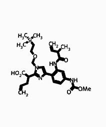 C=CCC(C(=O)O)c1nc(-c2ccc(NC(=O)OC)cc2NC(=O)C(C)C=C)cn1COCC[Si](C)(C)C